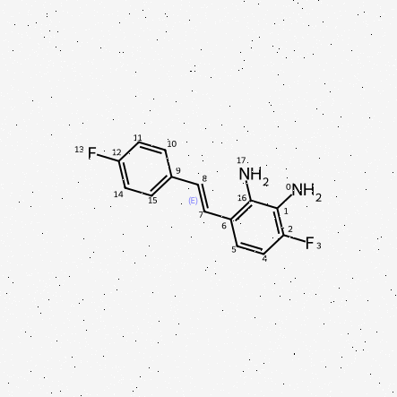 Nc1c(F)ccc(/C=C/c2ccc(F)cc2)c1N